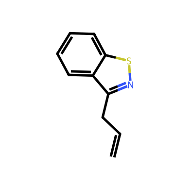 C=CCc1nsc2ccccc12